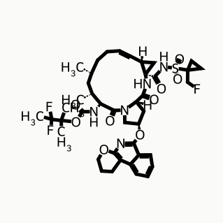 C[C@@H]1CC/C=C\[C@@H]2C[C@@]2(C(=O)NS(=O)(=O)C2(CF)CC2)NC(=O)[C@@H]2C[C@@H](Oc3nc4c(c5ccccc35)CCCO4)CN2C(=O)[C@@H](NC(=O)OC(C)(C)C(C)(F)F)[C@H](C)C1